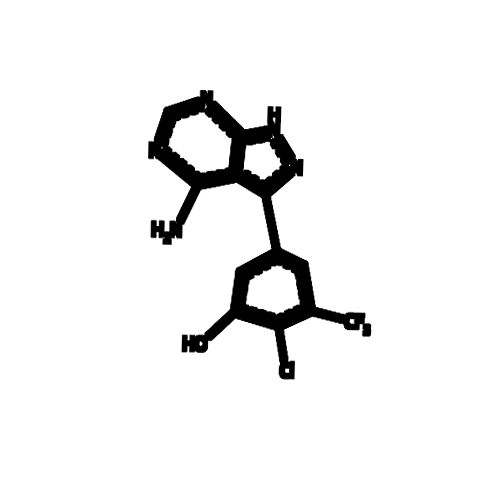 Nc1ncnc2[nH]nc(-c3cc(O)c(Cl)c(C(F)(F)F)c3)c12